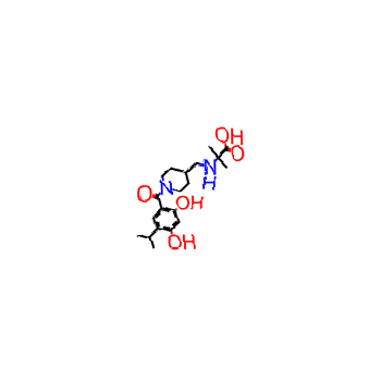 CC(C)c1cc(C(=O)N2CCC(CNC(C)(C)C(=O)O)CC2)c(O)cc1O